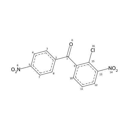 O=C(c1ccc([N+](=O)[O-])cc1)c1cccc([N+](=O)[O-])c1Cl